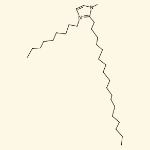 CCCCCCCCCCCCCCCCCCc1n(C)cc[n+]1CCCCCCCCC